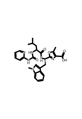 Cc1oc([C@@H](Cc2cn(C)c3ccccc23)NC(=O)C(CC(C)C)NC(=O)Nc2ccccn2)nc1C(=O)O